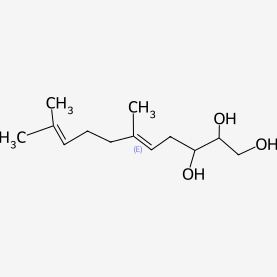 CC(C)=CCC/C(C)=C/CC(O)C(O)CO